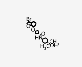 CC(C)(O)[C@H]1CC[C@H](NC(=O)[C@H]2C[C@H](Oc3cccc4c(Br)coc34)C2)CC1